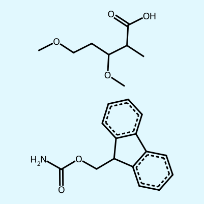 COCCC(OC)C(C)C(=O)O.NC(=O)OCC1c2ccccc2-c2ccccc21